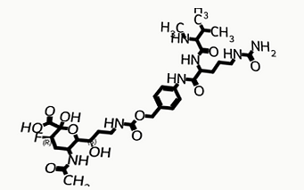 CNC(C(=O)NC(CCCNC(N)=O)C(=O)Nc1ccc(COC(=O)NCC[C@H](O)C2OC(O)(C(=O)O)[C@H](F)CC2NC(C)=O)cc1)C(C)C